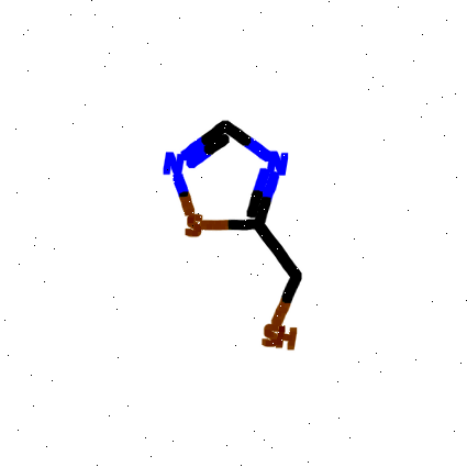 SCc1ncns1